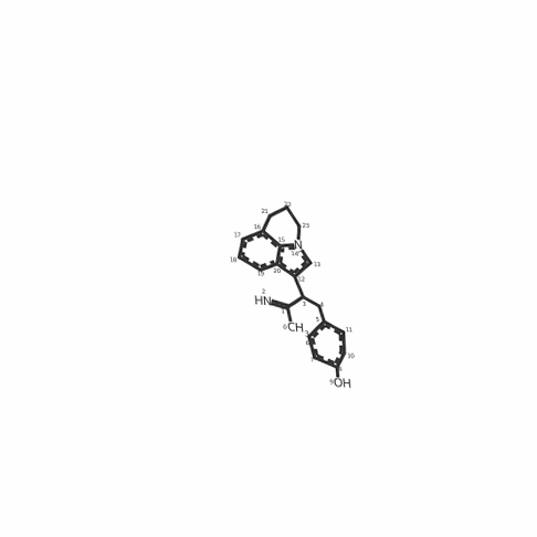 CC(=N)C(Cc1ccc(O)cc1)c1cn2c3c(cccc13)CCC2